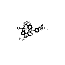 CNc1ccc2c(nc(NC(C)c3ccccc3)n2C)c1-c1ccnc(Nc2cccc(CS(C)(=O)=O)c2)n1